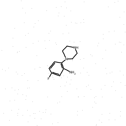 Nc1cc(F)ccc1N1CCNCC1